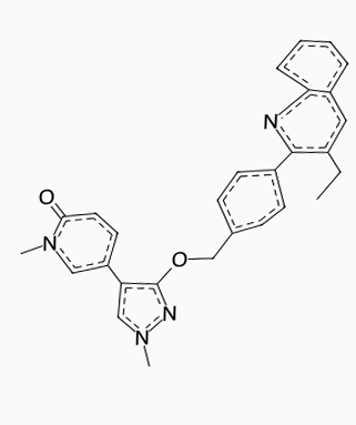 CCc1cc2ccccc2nc1-c1ccc(COc2nn(C)cc2-c2ccc(=O)n(C)c2)cc1